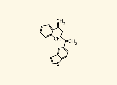 C=C(CCC(=C)c1ccccc1C(F)(F)F)c1ccc2sccc2c1